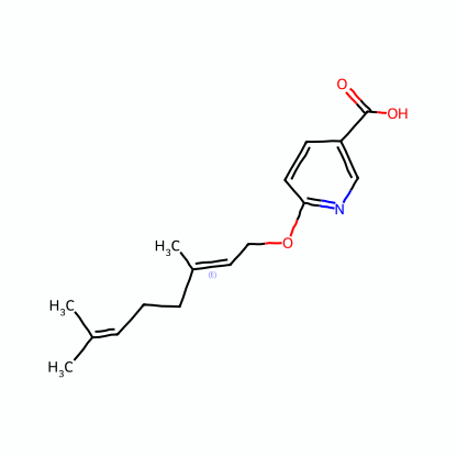 CC(C)=CCC/C(C)=C/COc1ccc(C(=O)O)cn1